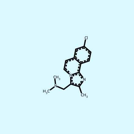 Cc1nc2c3ccc(Cl)cc3ccn2c1CN(C)C